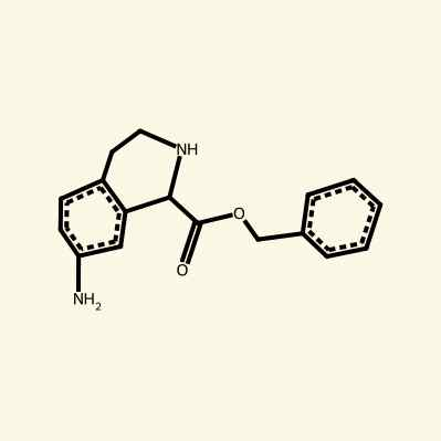 Nc1ccc2c(c1)C(C(=O)OCc1ccccc1)NCC2